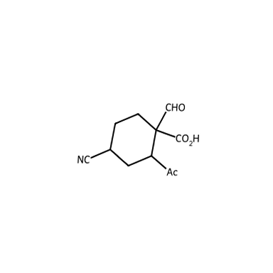 CC(=O)C1CC(C#N)CCC1(C=O)C(=O)O